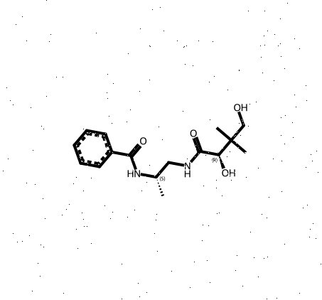 C[C@@H](CNC(=O)[C@H](O)C(C)(C)CO)NC(=O)c1ccccc1